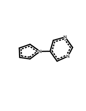 c1ccn(-c2cncnc2)c1